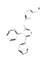 O=[N+]([O-])c1cnc(Sc2nnc(-c3ccccn3)n2-c2ccccc2)s1